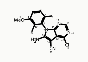 COc1ccc(C)c(-n2c(N)c(C#N)c3c(Cl)ncnc32)c1C